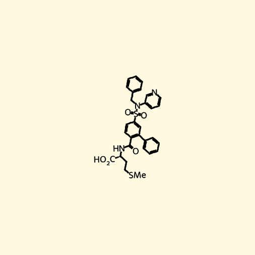 CSCC[C@H](NC(=O)c1ccc(S(=O)(=O)N(Cc2ccccc2)c2cccnc2)cc1-c1ccccc1)C(=O)O